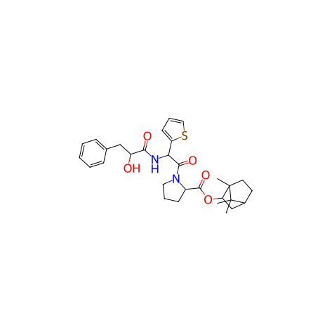 CC1(C)C2CCC1(C)C(OC(=O)C1CCCN1C(=O)C(NC(=O)C(O)Cc1ccccc1)c1cccs1)C2